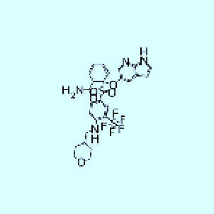 NC(=O)C1C=CC=CC1(Oc1cnc2[nH]ccc2c1)S(=O)(=O)c1ccc(NCC2CCOCC2)c(S(F)(F)(F)(F)F)c1